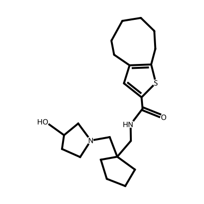 O=C(NCC1(CN2CCC(O)C2)CCCC1)c1cc2c(s1)CCCCCC2